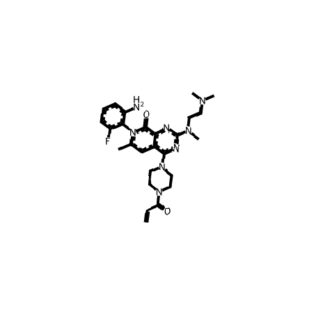 C=CC(=O)N1CCN(c2nc(N(C)CCN(C)C)nc3c(=O)n(-c4c(N)cccc4F)c(C)cc23)CC1